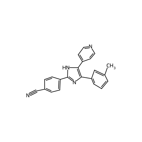 Cc1cccc(-c2nc(-c3ccc(C#N)cc3)[nH]c2-c2ccncc2)c1